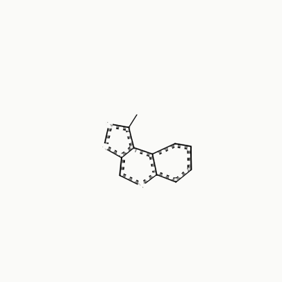 Oc1[nH]nc2cnc3ccccc3c12